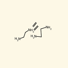 C=C.C=C.NCCN.NCCN